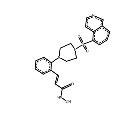 O=C(C=Cc1ccccc1N1CCN(S(=O)(=O)c2cccc3cnccc23)CC1)NO